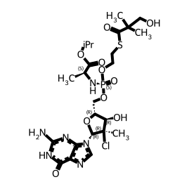 CC(C)OC(=O)[C@H](C)N[P@@](=O)(OCCSC(=O)C(C)(C)CO)OC[C@H]1O[C@@H](n2cnc3c(=O)[nH]c(N)nc32)[C@](C)(Cl)[C@@H]1O